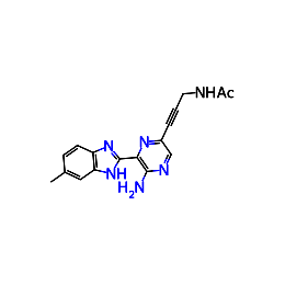 CC(=O)NCC#Cc1cnc(N)c(-c2nc3ccc(C)cc3[nH]2)n1